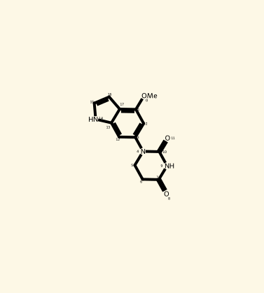 COc1cc(N2CCC(=O)NC2=O)cc2[nH]ccc12